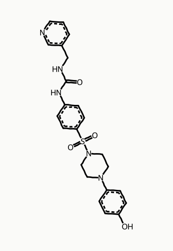 O=C(NCc1cccnc1)Nc1ccc(S(=O)(=O)N2CCN(c3ccc(O)cc3)CC2)cc1